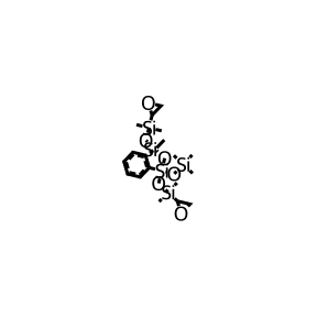 C[Si](C)(C)O[Si](O[Si](C)(C)O[Si](C)(C)C1CO1)(O[Si](C)(C)C1CO1)c1ccccc1